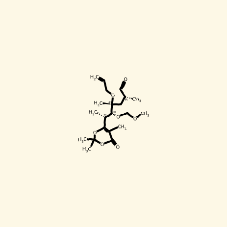 C=CCO[C@](C)(C[C@@H](C)C=O)[C@H](OCOC)[C@@H](C)C1=C(C)C(=O)OC(C)(C)O1